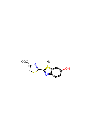 O=C([O-])[C@H]1CSC(c2nc3ccc(O)cc3s2)=N1.[Na+]